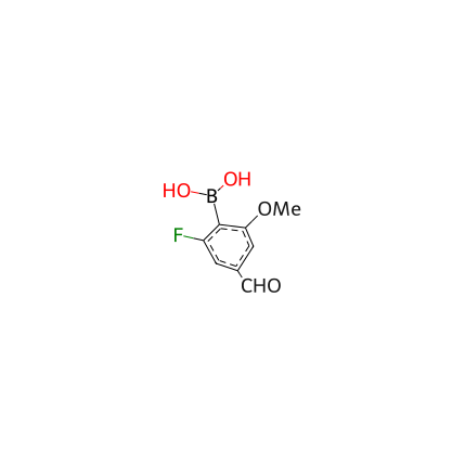 COc1cc(C=O)cc(F)c1B(O)O